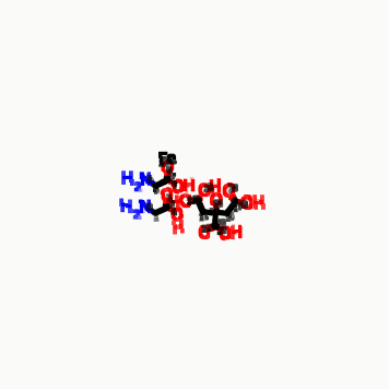 NCC(=O)O.NCC(=O)O.O=C(O)CC(O)(CC(=O)O)C(=O)O.[Fe]